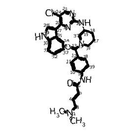 CN(C)C/C=C/C(=O)Nc1ccc(C(=O)N2CCC[C@@H](Nc3ncc(Cl)c(-c4c[nH]c5ccccc45)n3)C2)cc1